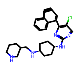 Clc1cnc(N[C@H]2CC[C@H](NCC3CCCNC3)CC2)nc1-c1cc#cc2ccccc12